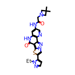 CCn1nccc1-c1cn2nc3c4ncc(NC(=O)CN5CC(C)(C)C5)cc4[nH]c(=O)c3c2s1